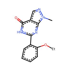 CCOc1ccccc1-c1nc2c(cnn2C)c(=O)[nH]1